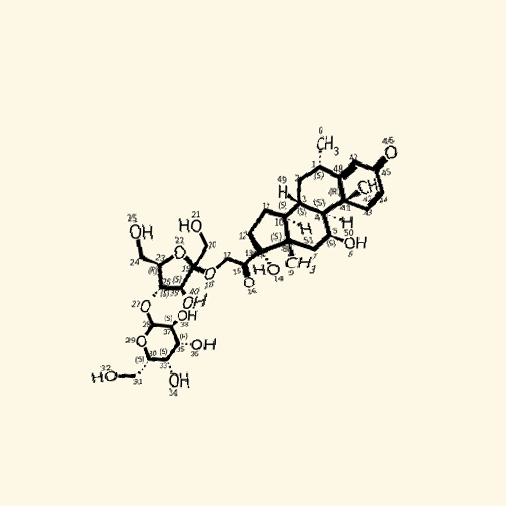 C[C@H]1C[C@@H]2[C@H]([C@@H](O)C[C@@]3(C)[C@H]2CC[C@]3(O)C(=O)COC2(CO)O[C@H](CO)[C@@H](OC3O[C@@H](CO)[C@@H](O)[C@@H](O)[C@@H]3O)[C@@H]2O)[C@@]2(C)C=CC(=O)C=C12